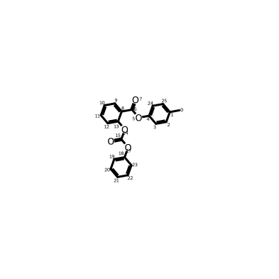 Cc1ccc(OC(=O)c2ccccc2OC(=O)Oc2ccccc2)cc1